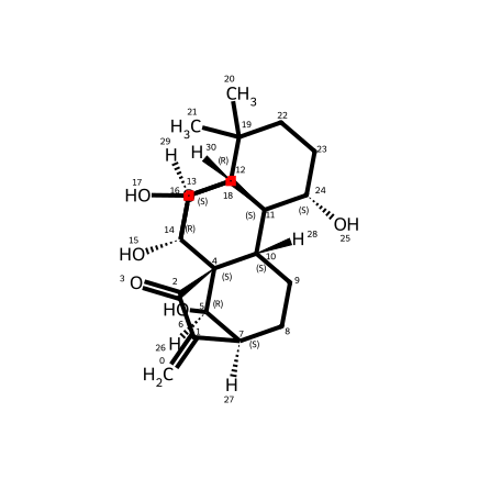 C=C1C(=O)[C@]23[C@H](O)[C@H]1CC[C@H]2[C@@]12CO[C@@]3(O)[C@@H](O)[C@@H]1C(C)(C)CC[C@@H]2O